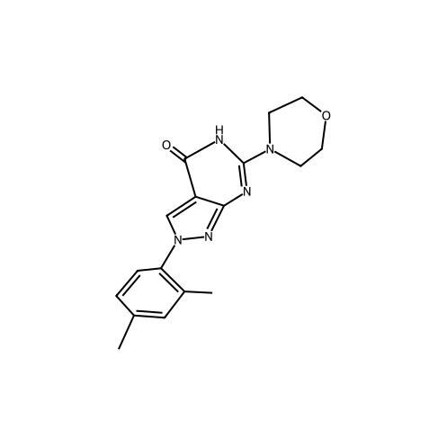 Cc1ccc(-n2cc3c(=O)[nH]c(N4CCOCC4)nc3n2)c(C)c1